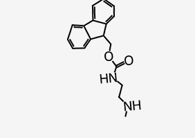 CNCCNC(=O)OCC1c2ccccc2-c2ccccc21